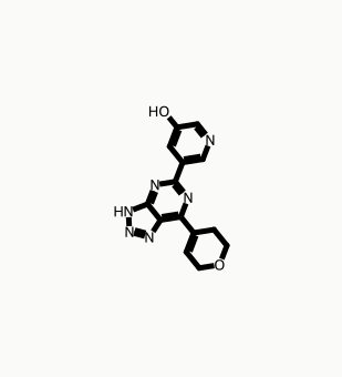 Oc1cncc(-c2nc(C3=CCOCC3)c3nn[nH]c3n2)c1